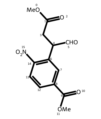 COC(=O)CC(C=O)c1cc(C(=O)OC)ccc1[N+](=O)[O-]